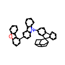 c1ccc2c(c1)-c1ccc(-n3c4ccccc4c4cc(-c5cccc6oc7ccccc7c56)ccc43)cc1C21C2CC3CC(C2)CC1C3